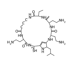 C=C1NC(CC)C(=O)NCCCC(=O)NC(CCN)C(=O)N[C@H](S)C2=C=C(NC(CCN)C(=O)NC1CCN)C(CC(C)C)N2